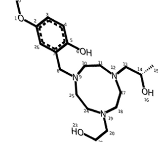 COc1ccc(O)c(CN2CCN(C[C@H](C)O)CCN(C[C@H](C)O)CC2)c1